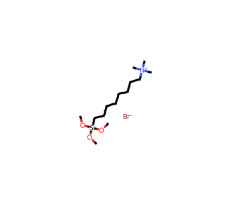 CO[Si](CCCCCCCC[N+](C)(C)C)(OC)OC.[Br-]